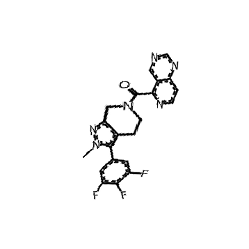 Cn1nc2c(c1-c1cc(F)c(F)c(F)c1)CCN(C(=O)c1nccc3ncncc13)C2